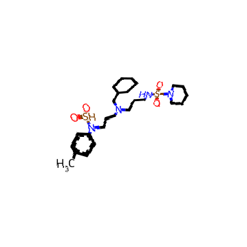 Cc1ccc(N(CCCN(CCCNS(=O)(=O)N2CCCCC2)CC2CCCCC2)[SH](=O)=O)cc1